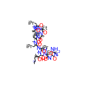 C/C=C/C[C@@H](C)[C@H](O)C(C(=O)N[C@H](CC)C(=O)N(C)CC(=O)N(C)[C@@H](C)C(N)=O)N(C)C(=O)[C@@H](C(C)C)N(C)C(=O)[C@@H](CC(C)C)N(C)C(=O)[C@@H](CC(C)C)N(C)C(=O)[C@H](C)NC(=O)[C@H](CC)NC(=O)[C@H](CC(C)C)N(C)C(=O)[C@H](C)C(C)C